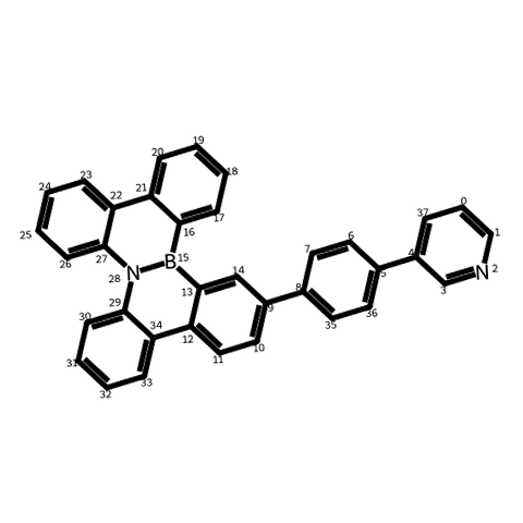 c1cncc(-c2ccc(-c3ccc4c(c3)B3c5ccccc5-c5ccccc5N3c3ccccc3-4)cc2)c1